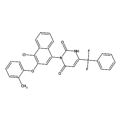 Cc1ccccc1Oc1cc(-n2c(=O)cc(C(F)(F)c3ccccc3)[nH]c2=O)c2ccccc2c1Cl